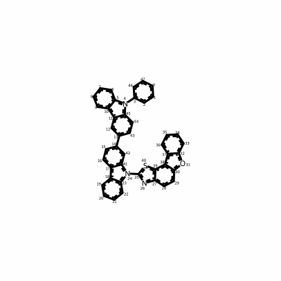 c1ccc(-n2c3ccccc3c3cc(-c4ccc5c6ccccc6n(-c6nc7ccc8oc9ccccc9c8c7s6)c5c4)ccc32)cc1